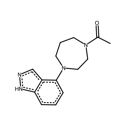 CC(=O)N1CCCN(c2cccc3[nH]ncc23)CC1